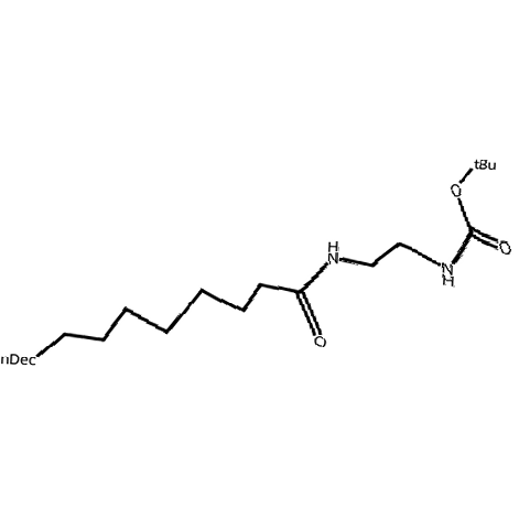 CCCCCCCCCCCCCCCCCC(=O)NCCNC(=O)OC(C)(C)C